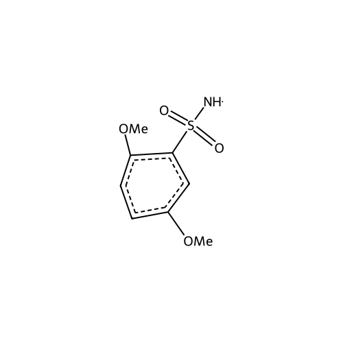 COc1ccc(OC)c(S([NH])(=O)=O)c1